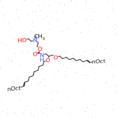 CCCCCCCCC=CCCCCCCCCOCC(CNC(=O)OCCN(C)CCO)OCCCCCCCCC=CCCCCCCCC